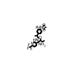 CCC(C)C(N)(NC(=O)C(C)c1ccc(NS(C)(=O)=O)c(F)c1)c1ccc(C(F)(F)F)nc1